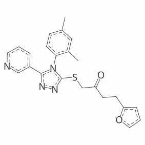 Cc1ccc(-n2c(SCC(=O)CCc3ccco3)nnc2-c2cccnc2)c(C)c1